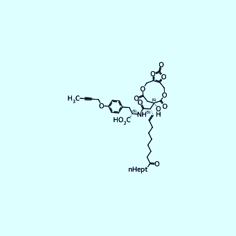 CC#CCOc1ccc(C[C@H](NC(=O)[C@@H](C=CCCCCCCC(=O)CCCCCCC)[C@@]2(O)CC(=O)OCc3oc(=O)oc3COC2=O)C(=O)O)cc1